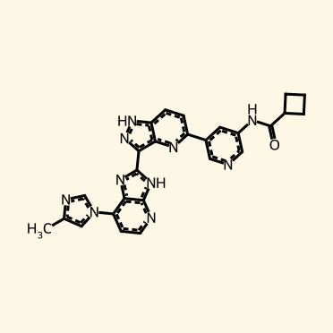 Cc1cn(-c2ccnc3[nH]c(-c4n[nH]c5ccc(-c6cncc(NC(=O)C7CCC7)c6)nc45)nc23)cn1